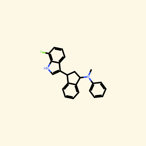 CN(c1ccccc1)C1CC(c2c[nH]c3c(F)cccc23)c2ccccc21